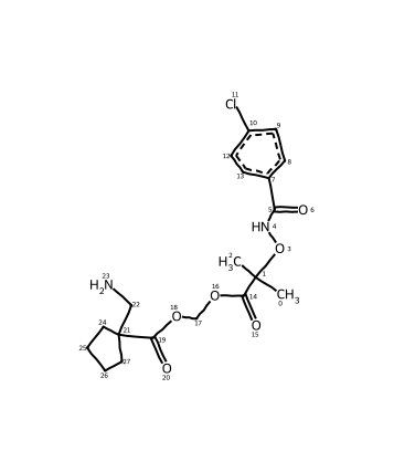 CC(C)(ONC(=O)c1ccc(Cl)cc1)C(=O)OCOC(=O)C1(CN)CCCC1